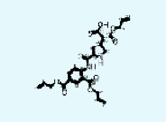 C=CCOC(=O)c1ccc(NC(=O)C2C[C@@H]([C@@H](C(=O)OCC=C)C(O)=S)CN2)c(C(=O)OCC=C)c1